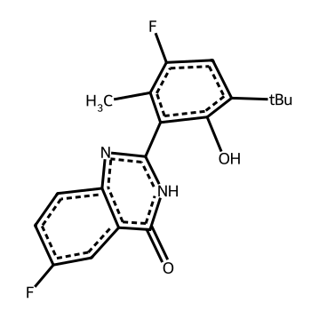 Cc1c(F)cc(C(C)(C)C)c(O)c1-c1nc2ccc(F)cc2c(=O)[nH]1